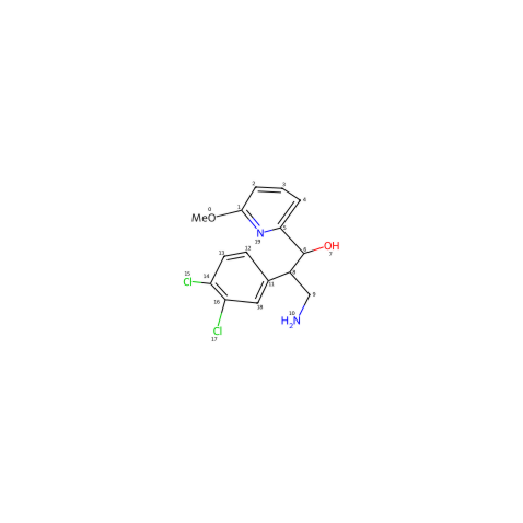 COc1cccc(C(O)C(CN)c2ccc(Cl)c(Cl)c2)n1